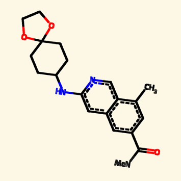 CNC(=O)c1cc(C)c2cnc(NC3CCC4(CC3)OCCO4)cc2c1